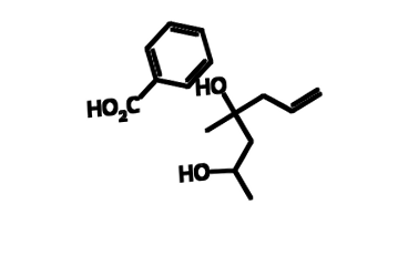 C=CCC(C)(O)CC(C)O.O=C(O)c1ccccc1